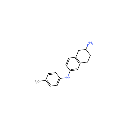 N[C@H]1CCc2cc(Nc3ccc(C(F)(F)F)cc3)ccc2C1